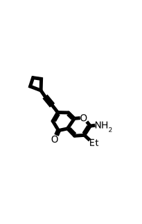 CCc1cc2c(=O)cc(C#CC3CCC3)cc-2oc1N